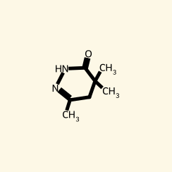 CC1=NNC(=O)C(C)(C)C1